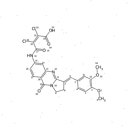 COc1ccc(C=C2CCn3c2nc2cc(NC(=O)/C(Cl)=C(/Cl)C(=O)O)ccc2c3=O)cc1OC